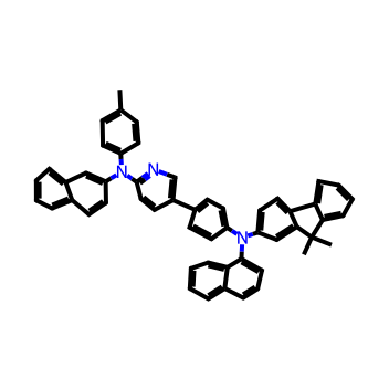 Cc1ccc(N(c2ccc3ccccc3c2)c2ccc(-c3ccc(N(c4ccc5c(c4)C(C)(C)c4ccccc4-5)c4cccc5ccccc45)cc3)cn2)cc1